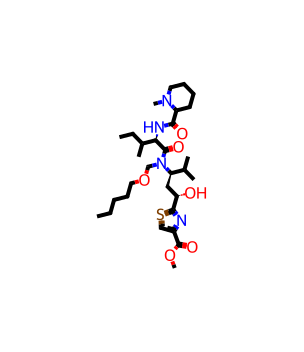 CCCCCOCN(C(=O)[C@@H](NC(=O)C1CCCCN1C)C(C)CC)[C@H](C[C@H](O)c1nc(C(=O)OC)cs1)C(C)C